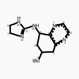 CC(C)(C)C1Cc2nccnc2C(NC2=NCCN2)C1